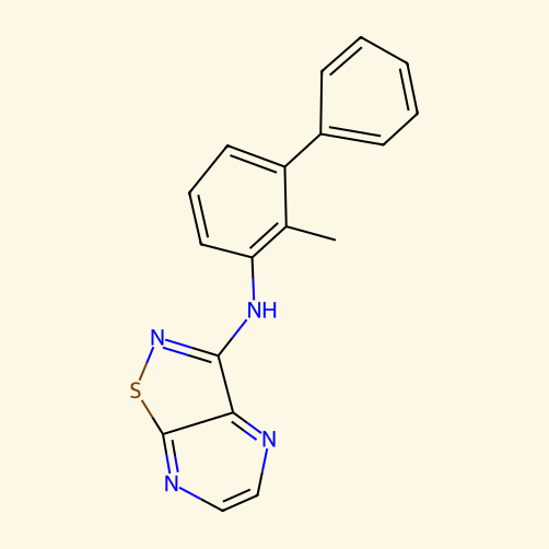 Cc1c(Nc2nsc3nccnc23)cccc1-c1ccccc1